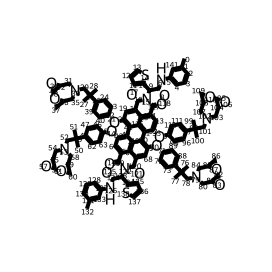 Cc1cccc(NC(=O)C(c2cccs2)N2C(=O)c3cc(Oc4ccc(C(C)(C)CN(CC5CO5)CC5CO5)cc4)c4c5c(Oc6ccc(C(C)(C)CN(CC7CO7)CC7CO7)cc6)cc6c7c(cc(Oc8ccc(C(C)(C)CN(CC9CO9)CC9CO9)cc8)c(c8c(Oc9ccc(C(C)(C)CN(CC%10CO%10)CC%10CO%10)cc9)cc(c3c48)C2=O)c75)C(=O)N(C(C(=O)Nc2cccc(C)c2)c2cccs2)C6=O)c1